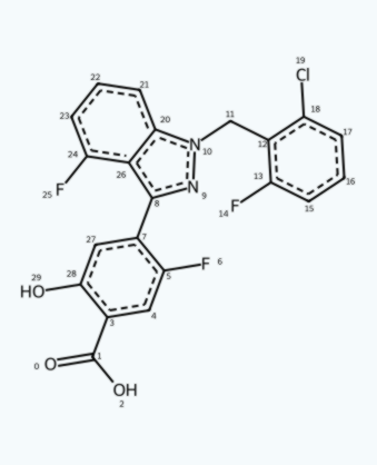 O=C(O)c1cc(F)c(-c2nn(Cc3c(F)cccc3Cl)c3cccc(F)c23)cc1O